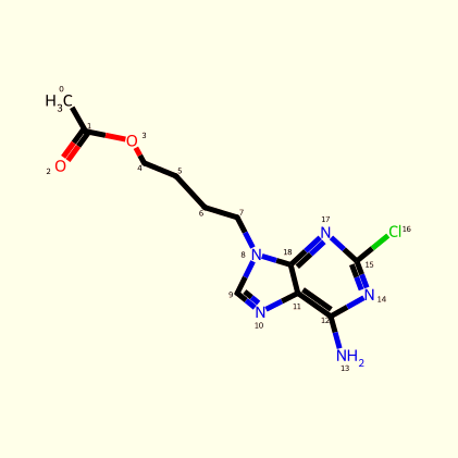 CC(=O)OCCCCn1cnc2c(N)nc(Cl)nc21